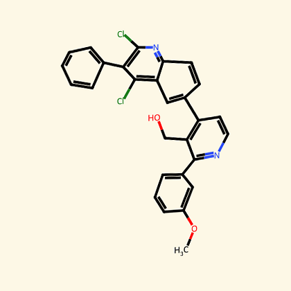 COc1cccc(-c2nccc(-c3ccc4nc(Cl)c(-c5ccccc5)c(Cl)c4c3)c2CO)c1